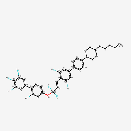 CCCCCC1CCC(c2ccc(-c3cc(F)c(/C=C/C(F)(F)Oc4ccc(-c5cc(F)c(F)c(F)c5)c(F)c4)c(F)c3)cc2)CC1